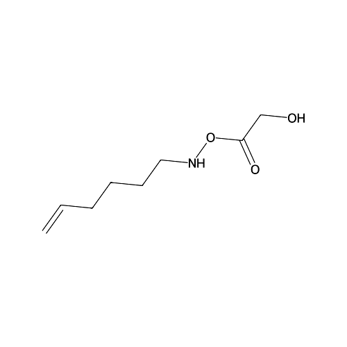 C=CCCCCNOC(=O)CO